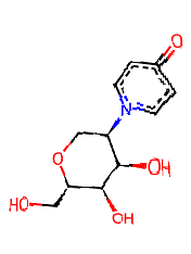 O=c1ccn([C@@H]2CO[C@H](CO)[C@H](O)[C@@H]2O)cc1